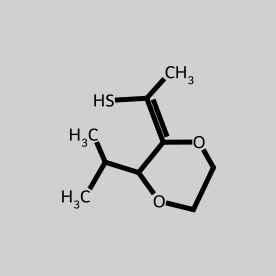 C/C(S)=C1\OCCOC1C(C)C